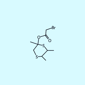 CC1SCC(C)(OC(=O)CBr)SC1C